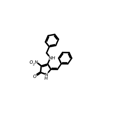 O=C1NC(=Cc2ccccc2)C(NCc2ccccc2)=C1[N+](=O)[O-]